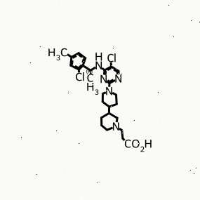 Cc1ccc([C@@H](C)Nc2nc(N3CCC(C4CCCN(CCC(=O)O)C4)CC3)ncc2Cl)c(Cl)c1